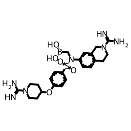 N=C(N)N1CCC(Oc2ccc(S(=O)(=O)N(CB(O)O)c3ccc4c(c3)CN(C(=N)N)CC4)cc2)CC1